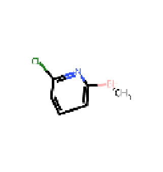 CBc1cccc(Cl)n1